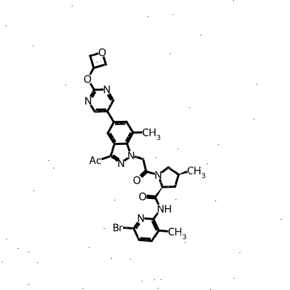 CC(=O)c1nn(CC(=O)N2C[C@@H](C)C[C@H]2C(=O)Nc2nc(Br)ccc2C)c2c(C)cc(-c3cnc(OC4COC4)nc3)cc12